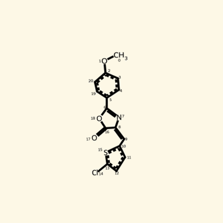 COc1ccc(C2=NC(=Cc3ccc(Cl)s3)C(=O)O2)cc1